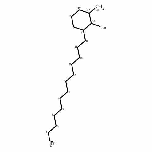 CC(C)CCCCCCCCCCCCC1CCCC(C)C1I